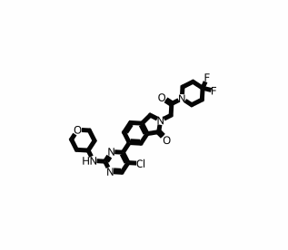 O=C(CN1Cc2ccc(-c3nc(NC4CCOCC4)ncc3Cl)cc2C1=O)N1CCC(F)(F)CC1